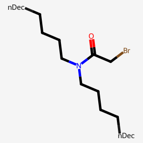 CCCCCCCCCCCCCCN(CCCCCCCCCCCCCC)C(=O)CBr